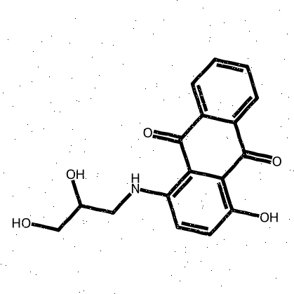 O=C1c2ccccc2C(=O)c2c(NCC(O)CO)ccc(O)c21